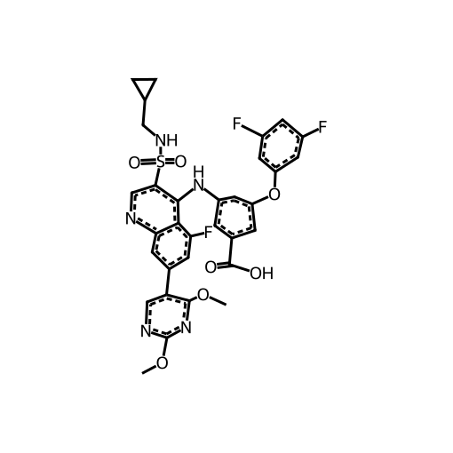 COc1ncc(-c2cc(F)c3c(Nc4cc(Oc5cc(F)cc(F)c5)cc(C(=O)O)c4)c(S(=O)(=O)NCC4CC4)cnc3c2)c(OC)n1